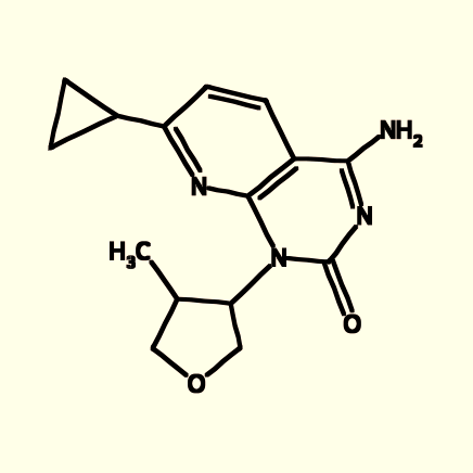 CC1COCC1n1c(=O)nc(N)c2ccc(C3CC3)nc21